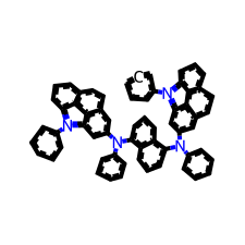 c1ccc(N(c2cc3ccc4cccc5c4c3c(c2)n5-c2ccccc2)c2cccc3c(N(c4ccccc4)c4cc5ccc6cccc7c6c5c(c4)n7-c4ccccc4)cccc23)cc1